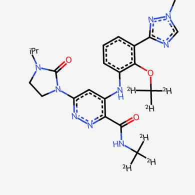 [2H]C([2H])([2H])NC(=O)c1nnc(N2CCN(C(C)C)C2=O)cc1Nc1cccc(-c2ncn(C)n2)c1OC([2H])([2H])[2H]